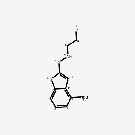 CCCCc1cccc2sc(SNCCC(C)C)nc12